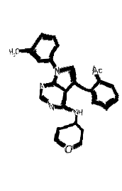 CC(=O)c1ccccc1-c1cn(-c2cccc(C)c2)c2ncnc(NC3CCOCC3)c12